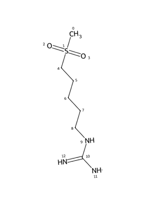 CS(=O)(=O)CCCCCNC([NH])=N